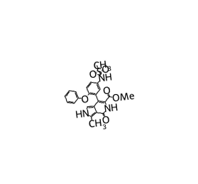 COC(=O)c1[nH]c(=O)c2c(C)[nH]cc2c1-c1cc(NS(C)(=O)=O)ccc1Oc1ccccc1